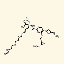 CCC(CCOCCOCCOCCNC=O)(NC(=O)c1ccc(N2CC(OC)C2)c(OC[C@H]2C[C@@H]2CO)n1)C(=O)O